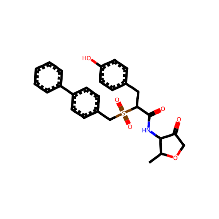 CC1OCC(=O)C1NC(=O)C(Cc1ccc(O)cc1)S(=O)(=O)Cc1ccc(-c2ccccc2)cc1